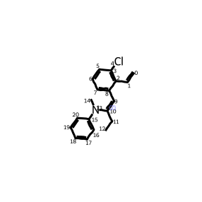 C=Cc1c(Cl)cccc1/C=C(/CC)N(C)c1ccccc1